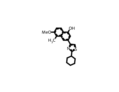 COc1ccc2c(O)cc(-c3csc(C4CCCCC4)n3)cc2c1C